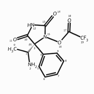 CC(N)[C@]1(c2ccccc2)C(=O)NC(=O)N1OC(=O)C(F)(F)F